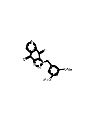 COc1cc(Cn2nnc3c2C(=O)c2cnccc2C3=O)cc(OC)c1